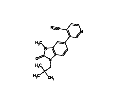 Cn1c(=O)n(CC(C)(C)C)c2ccc(-c3cnccc3C#N)cc21